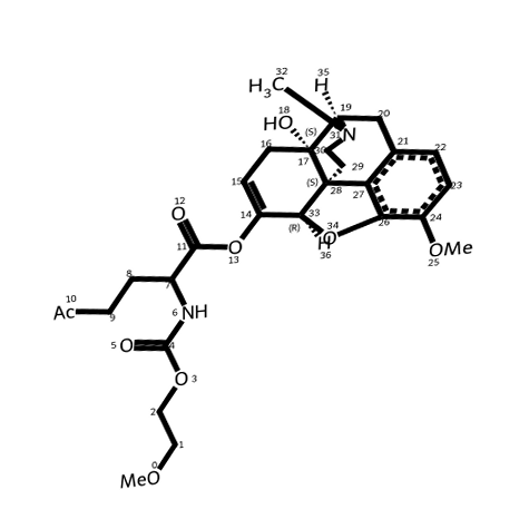 COCCOC(=O)NC(CCC(C)=O)C(=O)OC1=CC[C@@]2(O)[C@H]3Cc4ccc(OC)c5c4[C@@]2(CCN3C)[C@H]1O5